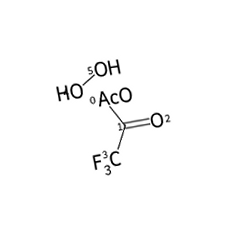 CC(=O)OC(=O)C(F)(F)F.OO